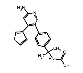 CC(C)(NC(=O)O)c1ccc(-c2nnc(N)cc2-c2ccsc2)cc1